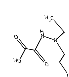 CCN(CCO)NC(=O)C(=O)O